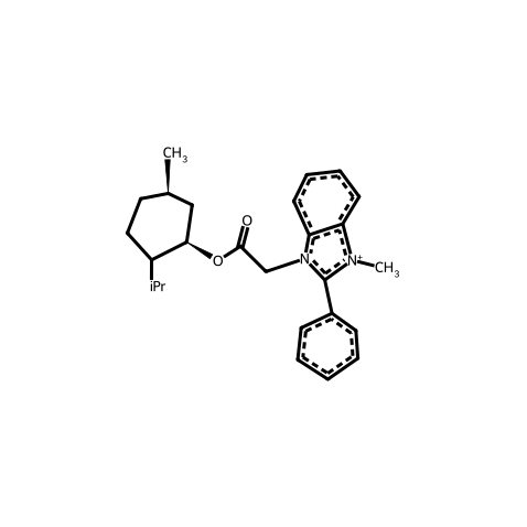 CC(C)C1CC[C@@H](C)C[C@H]1OC(=O)Cn1c(-c2ccccc2)[n+](C)c2ccccc21